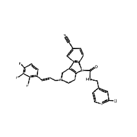 N#Cc1ccc2c(c1)c1c(n2C(=O)NCc2ccnc(Cl)c2)CCN(CC=Cc2ccc(F)c(F)c2F)C1